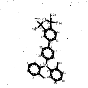 Cc1ccccc1N(c1ccc(-c2ccc3c(c2)C(F)(F)OC3(F)F)cc1)c1ccccc1C